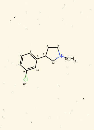 CN1CCC(c2cccc(Cl)c2)C1